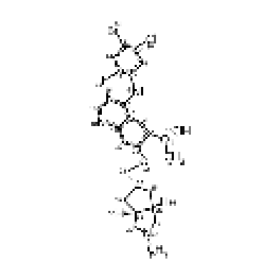 COc1cc2c(Nc3cc(Cl)c(Br)cc3F)ncnc2cc1OC[C@@H]1C[C@@H]2CN(C)C[C@@H]2C1.Cl